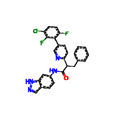 O=C(Nc1ccc2cn[nH]c2c1)C(Cc1ccccc1)c1ccc(-c2c(F)ccc(Cl)c2F)cn1